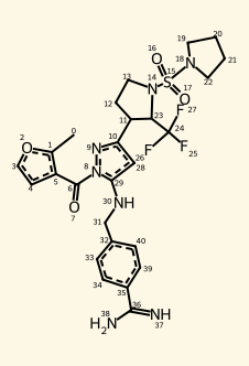 Cc1occc1C(=O)n1nc(C2CCN(S(=O)(=O)N3CCCC3)C2C(F)(F)F)cc1NCc1ccc(C(=N)N)cc1